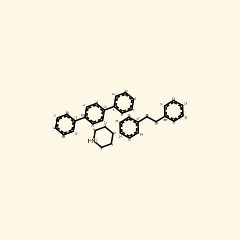 C1CCNCC1.c1ccc(-c2ccc(-c3ccccc3)cc2)cc1.c1ccc(CCc2ccccc2)cc1